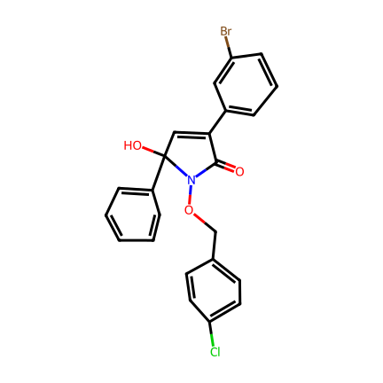 O=C1C(c2cccc(Br)c2)=CC(O)(c2ccccc2)N1OCc1ccc(Cl)cc1